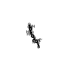 [C-]#[N+]c1cc2c(Oc3ccc(NC(=O)Nc4ccc5[nH]c(=O)oc5c4)cc3)ccnc2cc1OCCOC